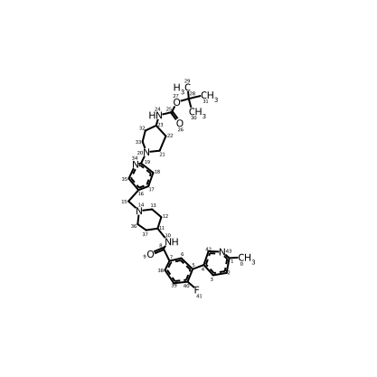 Cc1ccc(-c2cc(C(=O)NC3CCN(Cc4ccc(N5CCC(NC(=O)OC(C)(C)C)CC5)nc4)CC3)ccc2F)cn1